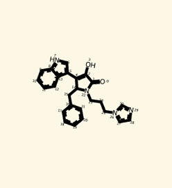 O=C1C(O)=C(c2c[nH]c3ccccc23)C(Cc2ccccc2)N1CCCn1ccnc1